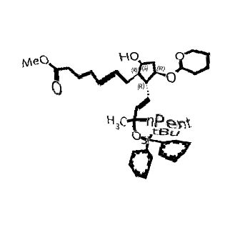 CCCCCC(C)(C=C[C@@H]1[C@@H](CC=CCCCC(=O)OC)[C@@H](O)C[C@H]1OC1CCCCO1)O[Si](c1ccccc1)(c1ccccc1)C(C)(C)C